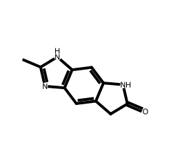 Cc1nc2cc3c(cc2[nH]1)NC(=O)C3